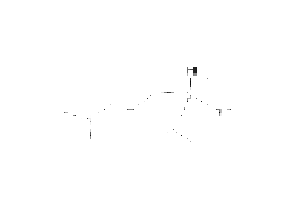 CCC[Si](N)(CCCN(C)C)N(C)C